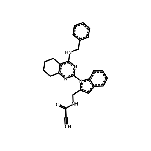 C#CC(=O)NCc1cc2ccccc2n1-c1nc2c(c(NCc3ccccc3)n1)CCCC2